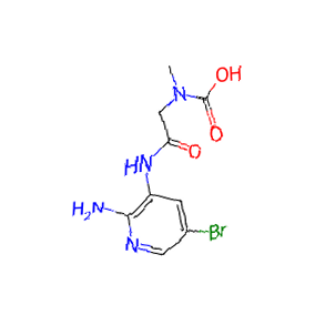 CN(CC(=O)Nc1cc(Br)cnc1N)C(=O)O